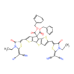 CCn1c(=C(C#N)C#N)s/c(=C\c2cc3c(s2)-c2sc4cc(/C=c5\sc(=C(C#N)C#N)n(CC)c5=O)sc4c2C3(C(=O)OCc2ccccc2)C(=O)OCc2ccccc2)c1=O